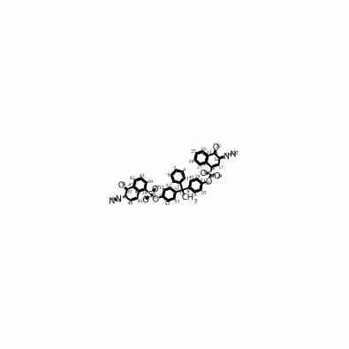 CC(c1ccccc1)(c1ccc(OS(=O)(=O)C2=CC(=[N+]=[N-])C(=O)c3ccccc32)cc1)c1ccc(OS(=O)(=O)c2cccc3c2C=CC(=[N+]=[N-])C3=O)cc1